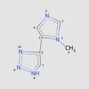 Cn1cncc1-c1c[nH]nn1